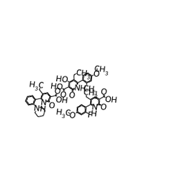 CCc1c(-c2ccc(OC)cc2C)[nH]c(=O)c(C(=O)O)c1O.CCc1cc(C(=O)O)c(=O)[nH]c1-c1ccc(OC)cc1F.CCc1cc(C(=O)O)c(=O)[nH]c1-c1ccccc1N1CCCCC1